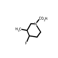 CC1CN(C(=O)O)CCC1F